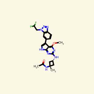 COc1nc(N[C@H]2C[C@@](C)(NC(C)=O)C2)nc2[nH]cc(-c3ccc4nnn(CC(F)F)c4c3)c12